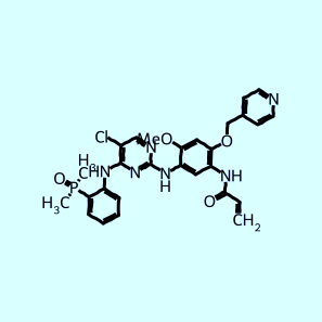 C=CC(=O)Nc1cc(Nc2ncc(Cl)c(Nc3ccccc3P(C)(C)=O)n2)c(OC)cc1OCc1ccncc1